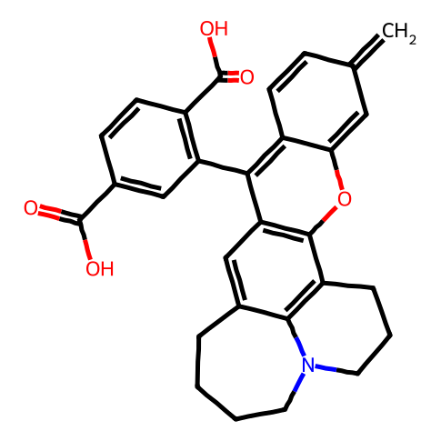 C=c1ccc2c(c1)Oc1c(cc3c4c1CCCN4CCCC3)C=2c1cc(C(=O)O)ccc1C(=O)O